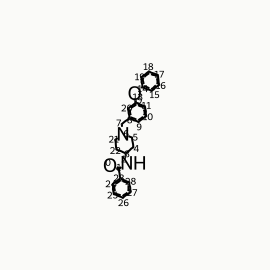 O=C(NC1CCN(Cc2cccc(Oc3ccccc3)c2)CC1)c1ccccc1